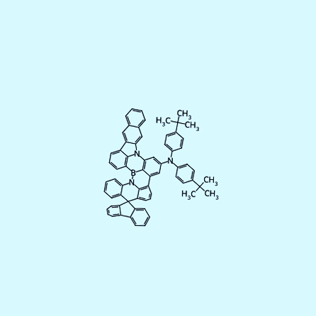 CC(C)(C)c1ccc(N(c2ccc(C(C)(C)C)cc2)c2cc3c4c(c2)-n2c5cc6ccccc6cc5c5cccc(c52)B4N2c4ccccc4C4(c5ccccc5-c5ccccc54)c4cccc-3c42)cc1